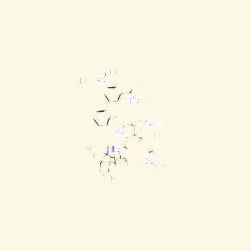 CNC(=O)c1cc(-c2cccc(CN3O[C@@H](CN)[C@@H]([C@H](O)OC(=O)N(C)C)[C@H]3C(=O)N[C@H]3C[C@H]4C[C@@H]([C@@H]3C)C4(C)C)c2C)cc(N(C)C)c1